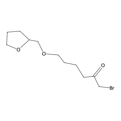 O=C(CBr)CCCCOCC1CCCO1